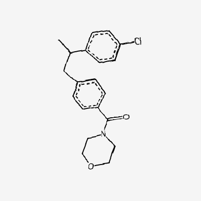 CC(Cc1ccc(C(=O)N2CCOCC2)cc1)c1ccc(Cl)cc1